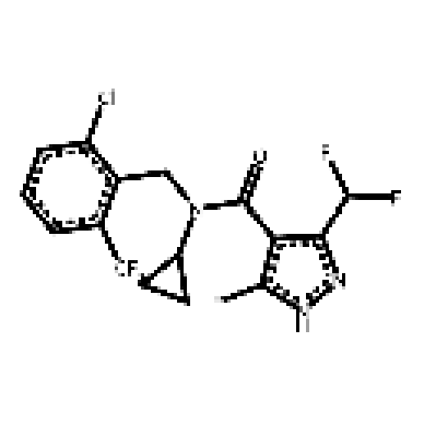 O=C(c1c(C(F)F)n[nH]c1F)N(Cc1c(Cl)cccc1C(F)(F)F)C1CC1